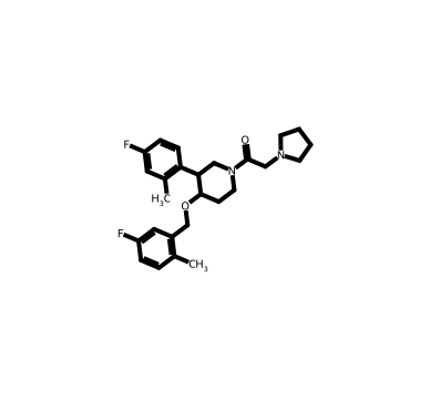 Cc1ccc(F)cc1COC1CCN(C(=O)CN2CCCC2)CC1c1ccc(F)cc1C